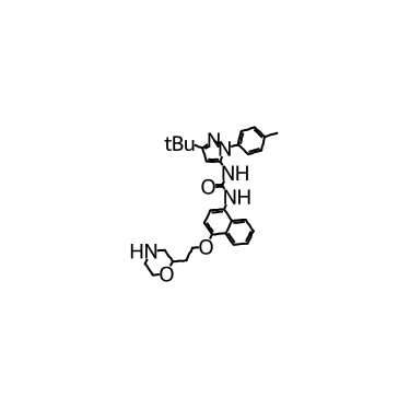 Cc1ccc(-n2nc(C(C)(C)C)cc2NC(=O)Nc2ccc(OCCC3CNCCO3)c3ccccc23)cc1